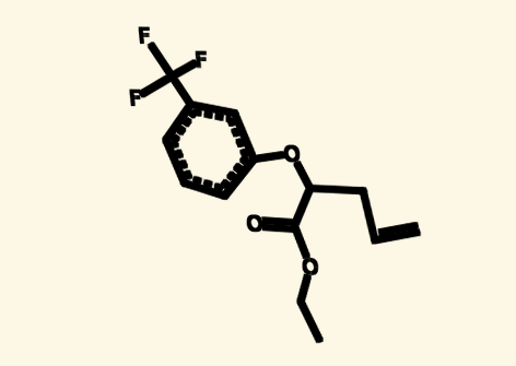 C=CCC(Oc1cccc(C(F)(F)F)c1)C(=O)OCC